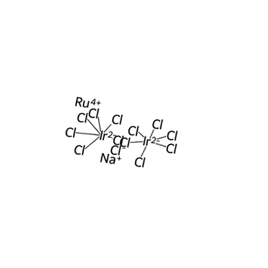 [Cl-].[Cl][Ir-2]([Cl])([Cl])([Cl])([Cl])[Cl].[Cl][Ir-2]([Cl])([Cl])([Cl])([Cl])[Cl].[Na+].[Ru+4]